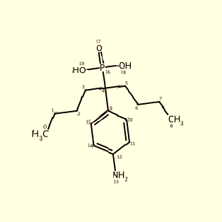 CCCCC(CCCC)(c1ccc(N)cc1)P(=O)(O)O